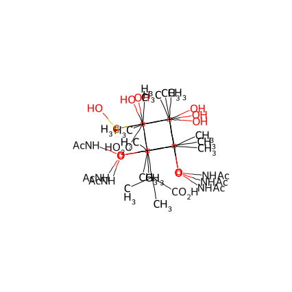 CC(=O)NOC(C)(C(C)(C)C(=O)O)C(C)(ONC(C)=O)C(C)(O)C(C)(O)C(C)(ONC(C)=O)C(C)(ONC(C)=O)C(C)(O)C(C)(O)C(C)(ONC(C)=O)C(C)(ONC(C)=O)C(C)(O)C(C)(SO)C(=O)O